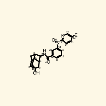 O=C(NC1C2CC3CC1CC(O)(C3)C2)c1cccc([S+]([O-])c2ccc(Cl)cn2)c1